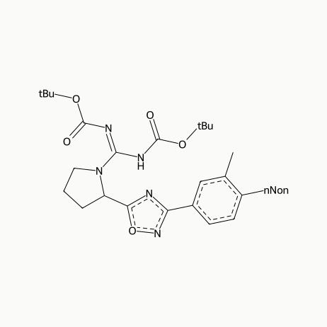 CCCCCCCCCc1ccc(-c2noc(C3CCCN3/C(=N\C(=O)OC(C)(C)C)NC(=O)OC(C)(C)C)n2)cc1C